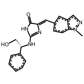 Cn1ncc2cc(/C=C3\N=C(N[C@@H](CO)c4ccccc4)NC3=O)ccc21